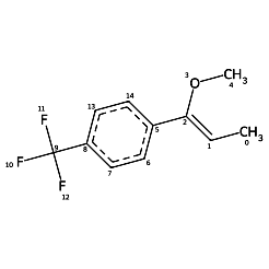 CC=C(OC)c1ccc(C(F)(F)F)cc1